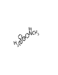 CCNc1ccc(Oc2ccccc2OC)cc1